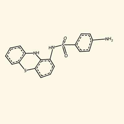 Nc1ccc(S(=O)(=O)Nc2cccc3c2Nc2ccccc2S3)cc1